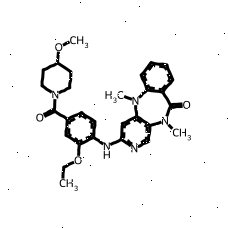 CCOc1cc(C(=O)N2CCC(OC)CC2)ccc1Nc1cc2c(cn1)N(C)C(=O)c1ccccc1N2C